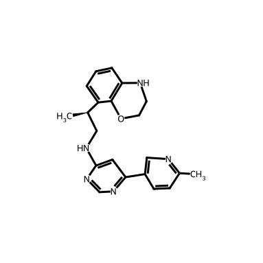 Cc1ccc(-c2cc(NC[C@@H](C)c3cccc4c3OCCN4)ncn2)cn1